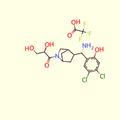 N[C@H](c1cc(Cl)c(Cl)cc1O)C1CC2CC1CN2C(=O)[C@H](O)CO.O=C(O)C(F)(F)F